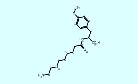 CC(C)(C)Oc1ccc(C[C@H](NC(=O)CCOCCOCCN)C(=O)O)cc1